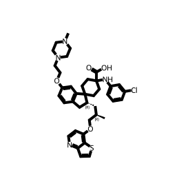 C[C@@H](COc1ccnc2ccsc12)C[C@@H]1Cc2ccc(OCCN3CCN(C)CC3)cc2C12CCC(Nc1cccc(Cl)c1)(C(=O)O)CC2